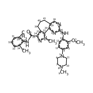 COc1cc(N2CCN(C)CC2)ccc1Nc1ncc2c(n1)-c1c(c(C(=O)Nc3c(C)cccc3C)nn1C)CCC2